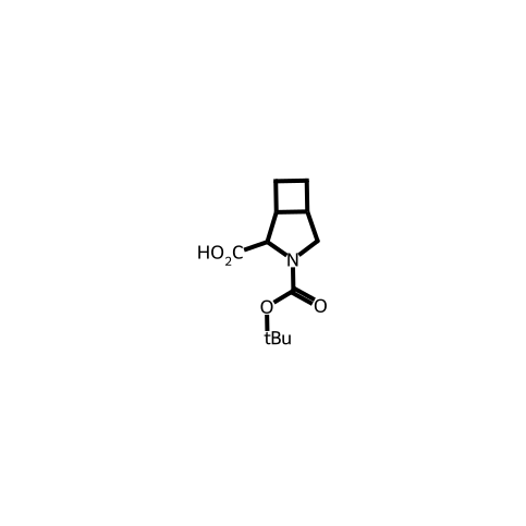 CC(C)(C)OC(=O)N1CC2CCC2C1C(=O)O